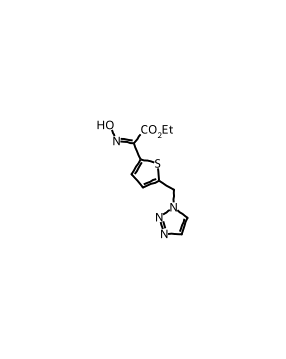 CCOC(=O)C(=NO)c1ccc(Cn2ccnn2)s1